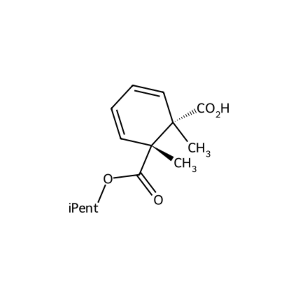 CCCC(C)OC(=O)[C@]1(C)C=CC=C[C@]1(C)C(=O)O